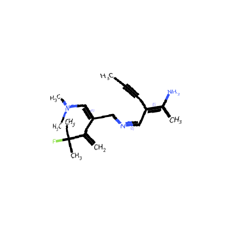 C=C(/C(=C\N(C)C)C/N=C\C(C#CC)=C(/C)N)C(C)(C)F